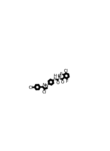 O=C(Nc1ccc(-n2cc(Cl)c(-c3ccc(Cl)cc3)n2)cc1)N(Cl)C(=O)c1c(F)ccc(Cl)c1F